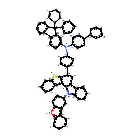 C1=CCC(C2(c3ccccc3)c3ccccc3-c3ccc(N(c4ccc(-c5ccccc5)cc4)c4ccc(-c5cc6c7ccccc7n(-c7ccc8oc9ccccc9c8c7)c6c6c5sc5ccccc56)cc4)cc32)C=C1